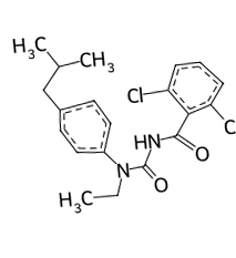 CCN(C(=O)NC(=O)c1c(Cl)cccc1Cl)c1ccc(CC(C)C)cc1